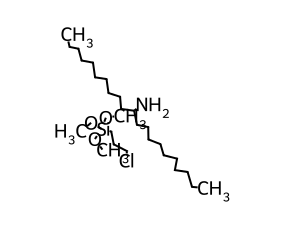 CCCCCCCCCCC(N)CCCCCCCCCC.CO[Si](CCCCl)(OC)OC